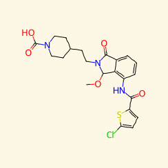 COC1c2c(NC(=O)c3ccc(Cl)s3)cccc2C(=O)N1CCC1CCN(C(=O)O)CC1